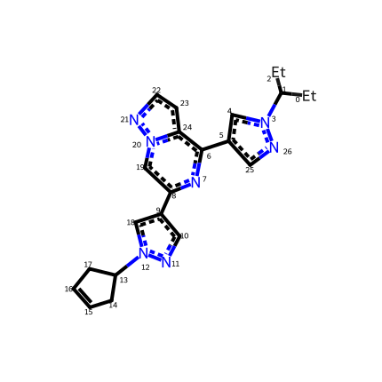 CCC(CC)n1cc(-c2nc(-c3cnn(C4CC=CC4)c3)cn3nccc23)cn1